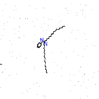 CCCCCCCCCCCCCCCCC(CCCCCCCCCCCCCCCC)(C(c1ccccc1)N(C)C)N(C)C